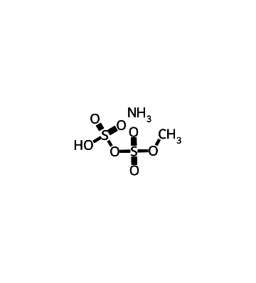 COS(=O)(=O)OS(=O)(=O)O.N